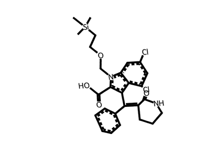 C[Si](C)(C)CCOCn1c(C(=O)O)c(C(=C2CCCNC2=O)c2ccccc2)c2c(Cl)cc(Cl)cc21